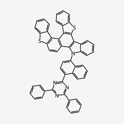 c1ccc(-c2nc(-c3ccccc3)nc(-c3ccc(-n4c5ccccc5c5c6sc7ccccc7c6c6c(ccc7sc8ccccc8c76)c54)c4ccccc34)n2)cc1